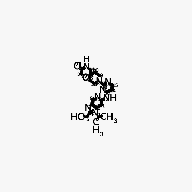 CC(C)n1c(CO)nc2cnc(Nc3ccnc(N4CCC5(CC4)CNC(=O)CO5)n3)cc21